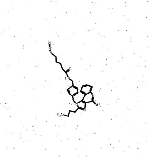 CCCCc1nc2c(N)nc3ccccc3c2n1Cc1ccc(CNC(=O)CCCCN=[N+]=[N-])cc1